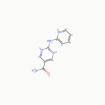 NC(=O)c1cnc(Nc2ccccn2)nc1